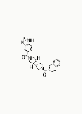 O=C(c1ccc2ccccc2c1)N1CC2C(C1)[C@@H]1CN(C(=O)c3ccc4[nH]nnc4c3)C[C@H]21